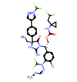 C=N/C=N\N(c1cc([C@@H](COC(=O)NC2(CC(F)F)CC2)N2C(=N)N[C@](CC(C)(C)C)(c3ccc(-c4cnn(C(F)F)c4)cc3)C2=O)ccc1Cl)C(F)F